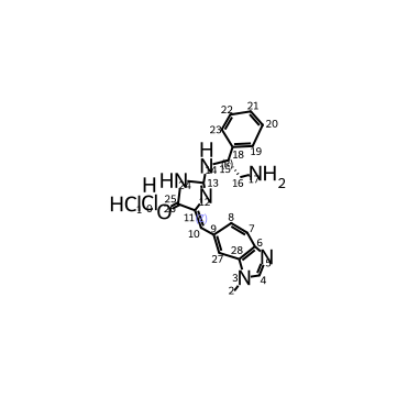 Cl.Cl.Cn1cnc2ccc(/C=C3\N=C(N[C@@H](CN)c4ccccc4)NC3=O)cc21